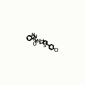 O=C(NCc1ccc(-c2ccc(Cl)cc2)s1)n1nnc2ccccc21